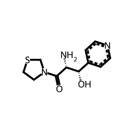 N[C@@H](C(=O)N1CCSC1)[C@@H](O)c1ccncc1